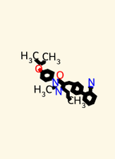 CCCc1nc(C)n(-c2ccc(OC(CC)CC)cc2)c(=O)c1Cc1ccc(-c2ccccc2C#N)cc1